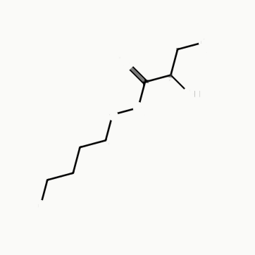 CCCCCOOC(=O)C(O)CC